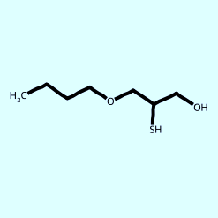 CCCCOCC(S)CO